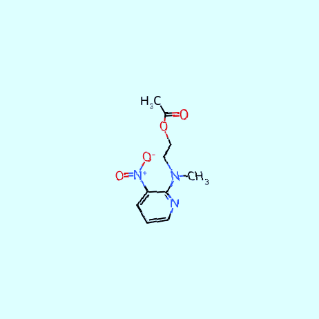 CC(=O)OCCN(C)c1ncccc1[N+](=O)[O-]